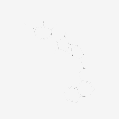 Cc1c(N2C(=O)[C@@H]3C4CC(CN4C(=O)Nc4cccc5ccccc45)N3C2=O)ccc(C#N)c1Cl